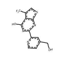 OCc1ccnc(-c2nc(O)c3c(C(F)(F)F)csc3n2)c1